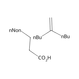 C=C(CCCC)CCCC.CCCCCCCCCCCC(=O)O